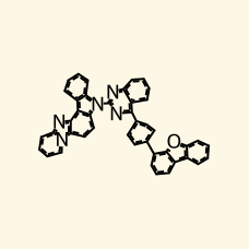 c1ccc2c(-c3ccc(-c4cccc5c4oc4ccccc45)cc3)nc(-n3c4ccccc4c4c5nc6ccccn6c5ccc43)nc2c1